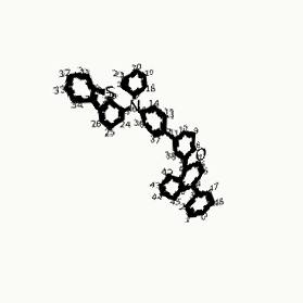 c1ccc(-c2cc3oc4ccc(-c5ccc(N(c6ccccc6)c6cccc7c6sc6ccccc67)cc5)cc4c3c3ccccc23)cc1